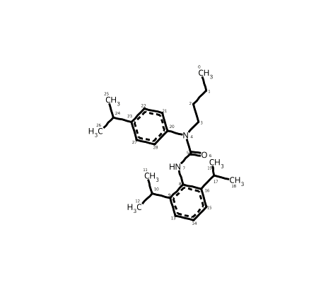 CCCCN(C(=O)Nc1c(C(C)C)cccc1C(C)C)c1ccc(C(C)C)cc1